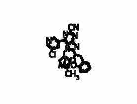 COc1ccccc1CC(O)c1nc2nc(C#N)nc(-c3cncc(Cl)c3)c2n1C[C@H]1CC[C@H](C)CC1